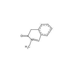 C[N+]1=Cc2ccccc2CC1=O